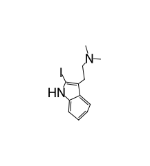 CN(C)CCc1c(I)[nH]c2ccccc12